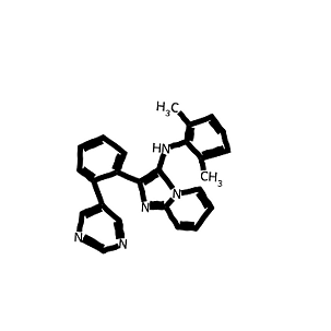 Cc1cccc(C)c1Nc1c(-c2ccccc2-c2cncnc2)nc2ccccn12